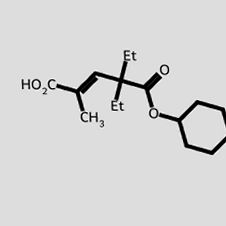 CCC(C=C(C)C(=O)O)(CC)C(=O)OC1CCCCC1